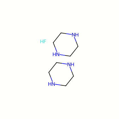 C1CNCCN1.C1CNCCN1.F